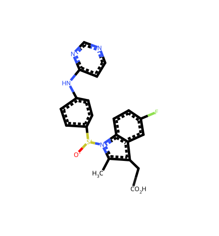 Cc1c(CC(=O)O)c2cc(F)ccc2n1[S+]([O-])c1ccc(Nc2ccncn2)cc1